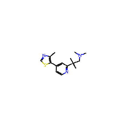 Cc1ncsc1-c1ccnc(C(C)(C)CN(C)C)c1